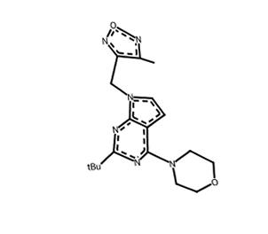 Cc1nonc1Cn1ccc2c(N3CCOCC3)nc(C(C)(C)C)nc21